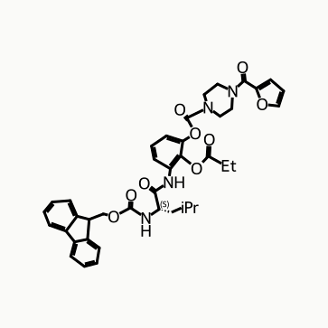 CCC(=O)Oc1c(NC(=O)[C@H](CC(C)C)NC(=O)OCC2c3ccccc3-c3ccccc32)cccc1OC(=O)N1CCN(C(=O)c2ccco2)CC1